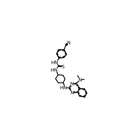 CN(C)c1nc(NC2CCC(NC(=S)Nc3ccc(C#N)cc3)CC2)nc2ccccc12